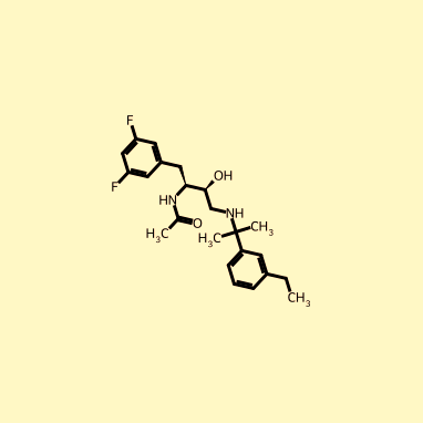 CCc1cccc(C(C)(C)NC[C@H](O)[C@H](Cc2cc(F)cc(F)c2)NC(C)=O)c1